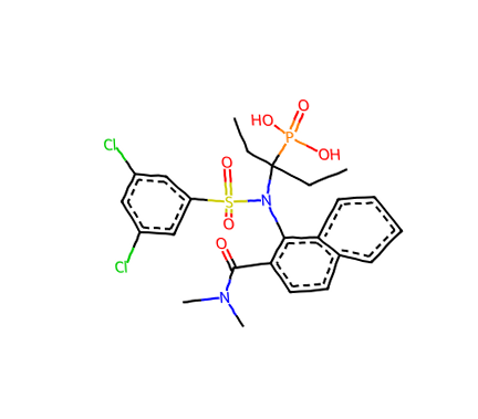 CCC(CC)(N(c1c(C(=O)N(C)C)ccc2ccccc12)S(=O)(=O)c1cc(Cl)cc(Cl)c1)P(=O)(O)O